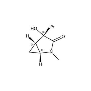 CC(C)[C@@]1(O)C(=O)N(C)[C@@H]2C[C@@H]21